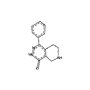 O=c1[nH]nc(-c2ccccc2)c2c1CNCC2